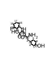 N[C@@H](Cc1ccc(O)cc1)C(=O)N[C@H](Cc1cccc(F)c1)C(=O)O